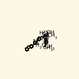 C[C@@H](NC(=O)[C@H](Cc1ccc(-c2ncc(-c3ccc4c(c3)Cc3ccccc3-4)cn2)cc1)NC(=O)c1ccc(C(C)(C)C)s1)C(O)O